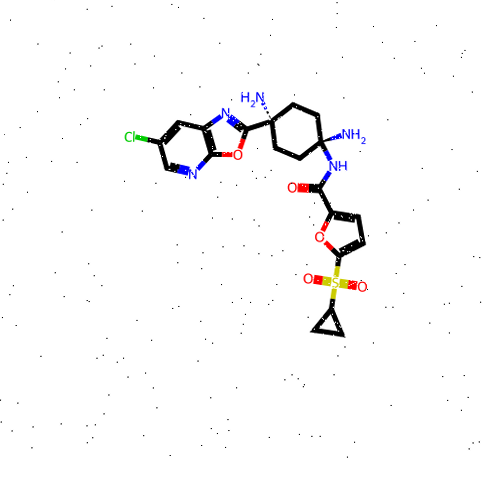 N[C@]1(NC(=O)c2ccc(S(=O)(=O)C3CC3)o2)CC[C@](N)(c2nc3cc(Cl)cnc3o2)CC1